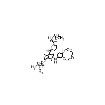 CC(C)(C)OC(=O)N1CCC[C@@H](Nc2nc(Nc3ccc4c(c3)OCCOCCOCCO4)nc3c2ncn3COC(=O)C(C)(C)C)C1